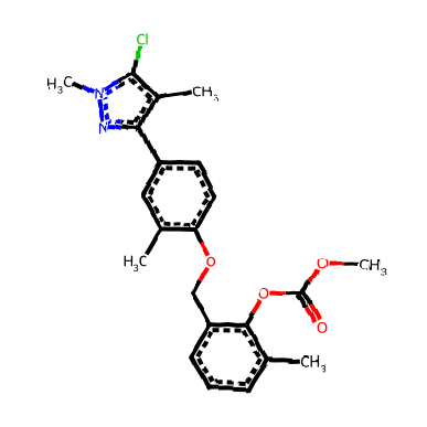 COC(=O)Oc1c(C)cccc1COc1ccc(-c2nn(C)c(Cl)c2C)cc1C